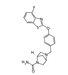 NC(=O)N1CC2C[C@@H]1CN2Cc1ccc(Oc2nc3c(F)cccc3s2)cc1